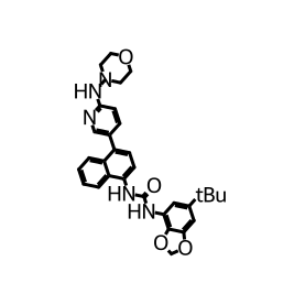 CC(C)(C)c1cc(NC(=O)Nc2ccc(-c3ccc(NN4CCOCC4)nc3)c3ccccc23)c2c(c1)OCO2